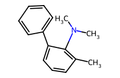 Cc1cccc(-c2ccccc2)c1N(C)C